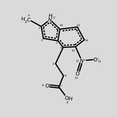 Cc1cc2c(CCC(=O)O)c([N+](=O)[O-])ccc2[nH]1